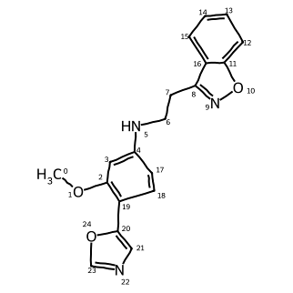 COc1cc(NCCc2noc3ccccc23)ccc1-c1cnco1